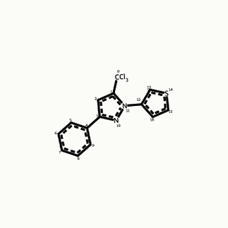 ClC(Cl)(Cl)c1cc(-c2ccccc2)nn1-c1[c]scc1